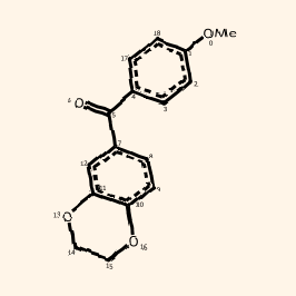 COc1ccc(C(=O)c2ccc3c(c2)OCCO3)cc1